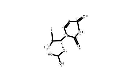 CC(F)[C@@H](OC(O)O)n1ccc(=O)[nH]c1=O